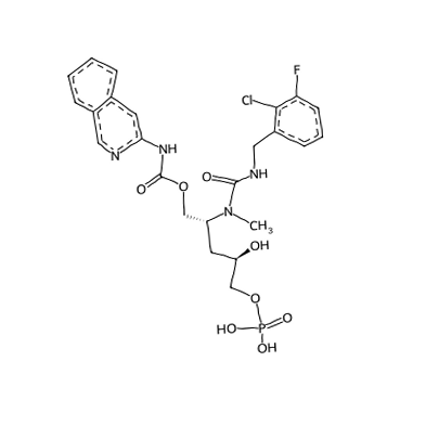 CN(C(=O)NCc1cccc(F)c1Cl)[C@@H](COC(=O)Nc1cc2ccccc2cn1)C[C@@H](O)COP(=O)(O)O